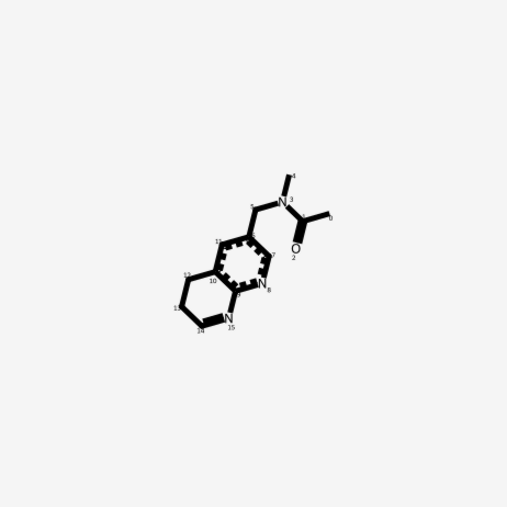 CC(=O)N(C)Cc1cnc2c(c1)CCC=N2